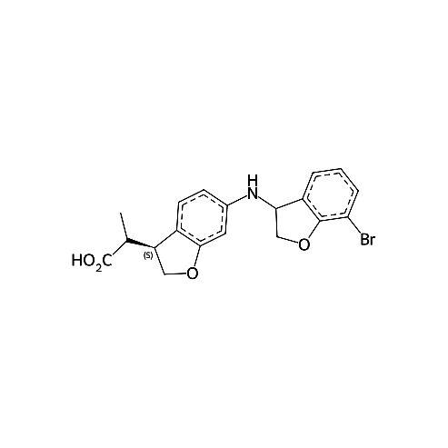 CC(C(=O)O)[C@@H]1COc2cc(NC3COc4c(Br)cccc43)ccc21